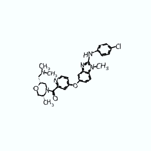 C[C@@H]1CO[C@H](CN(C)C)CN1C(=O)c1cc(Oc2ccc3c(c2)nc(Nc2ccc(Cl)cc2)n3C)ccn1